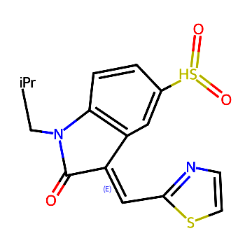 CC(C)CN1C(=O)/C(=C/c2nccs2)c2cc([SH](=O)=O)ccc21